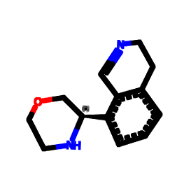 C1=NCCc2cccc([C@@H]3COCCN3)c21